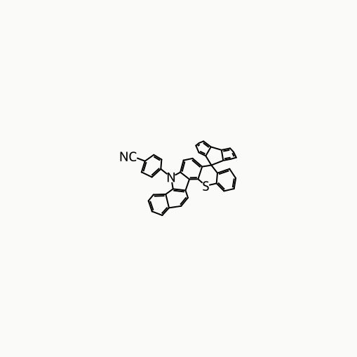 N#Cc1ccc(-n2c3ccc4c(c3c3ccc5ccccc5c32)Sc2ccccc2C42c3ccccc3-c3ccccc32)cc1